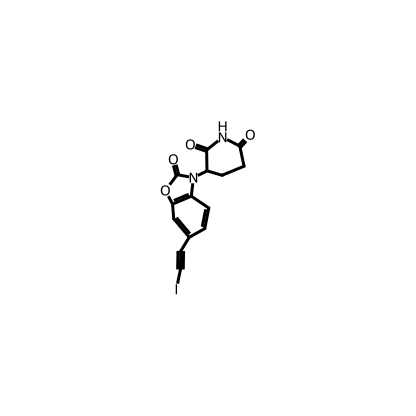 O=C1CCC(n2c(=O)oc3cc(C#CI)ccc32)C(=O)N1